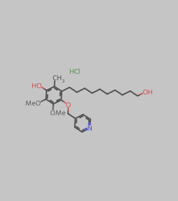 COc1c(O)c(C)c(CCCCCCCCCCO)c(OCc2ccncc2)c1OC.Cl